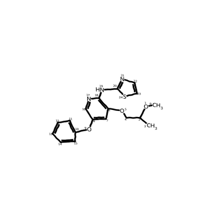 COC(C)COc1cc(Oc2ccccc2)cnc1Nc1nccs1